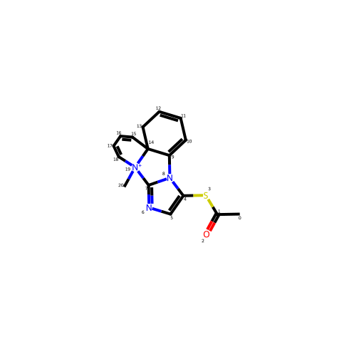 CC(=O)Sc1cnc2n1C1=CC=CCC13C=CC=C[N+]23C